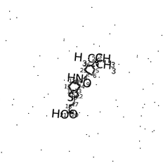 CC(C)(C)c1ccc(C(=O)Nc2ccc3sc(/C=C/C(=O)O)cc3c2)cc1